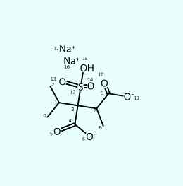 CC(C)C(C(=O)[O-])(C(C)C(=O)[O-])S(=O)(=O)O.[Na+].[Na+]